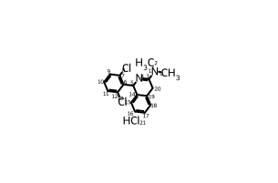 CN(C)C1=NC(c2c(Cl)cccc2Cl)c2ccccc2C1.Cl